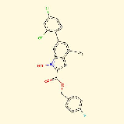 O=C(OCc1ccc(F)cc1)c1cc2c(C(F)(F)F)cc(-c3ccc(Cl)cc3Cl)cc2n1O